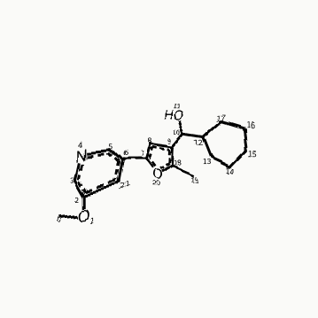 COc1cncc(-c2cc(C(O)C3CCCCC3)c(C)o2)c1